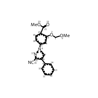 COCOc1cc(-n2cc(-c3ccccc3)c(C#N)n2)ccc1C(=O)OC